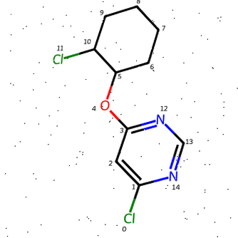 Clc1cc(OC2CCCCC2Cl)ncn1